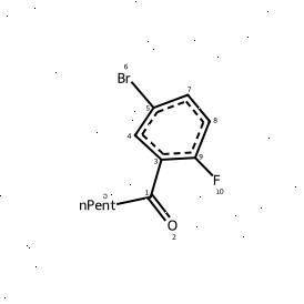 CCCCCC(=O)c1cc(Br)ccc1F